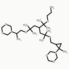 CCCOC(C)(C)C(CC(C)(C)OCC(C)N1COCOC1)CC(C)(C)OCC1CC1(C)N1COCOC1